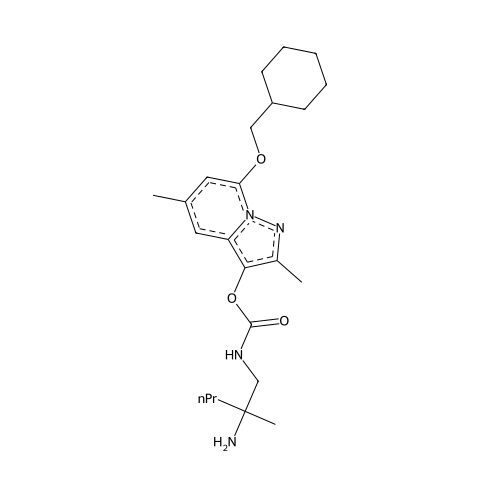 CCCC(C)(N)CNC(=O)Oc1c(C)nn2c(OCC3CCCCC3)cc(C)cc12